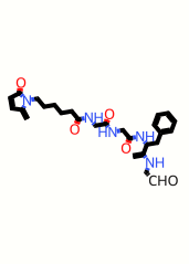 C=C(NCC=O)C(Cc1ccccc1)NC(=O)CNC(=O)CNC(=O)CCCCCN1C(=C)C=CC1=O